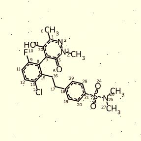 Cc1nn(C)c(=O)c(-c2c(F)ccc(Cl)c2CCc2ccc(S(=O)(=O)N(C)C)cc2)c1O